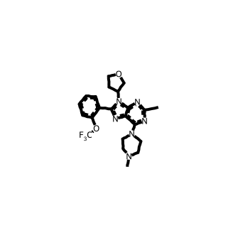 Cc1nc(N2CCN(C)CC2)c2nc(-c3ccccc3OC(F)(F)F)n(C3CCOC3)c2n1